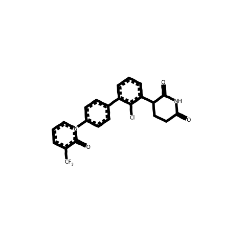 O=C1CCC(c2cccc(-c3ccc(-n4cccc(C(F)(F)F)c4=O)cc3)c2Cl)C(=O)N1